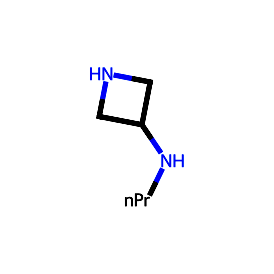 CCCNC1CNC1